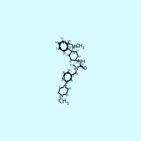 CN1CCN(c2cc(CN3C[C@]4(CC[C@@](c5ccccc5)(N(C)C)CC4)NC3=O)ccn2)CC1